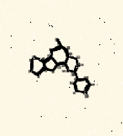 CC1=CC2=C3SC=CC=C3CC2=C2SC(c3ccncc3)=NCC2=C1